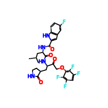 CC(C)CC(NC(=O)c1cc2cc(F)ccc2[nH]1)C(=O)NC(CC1CCNC1=O)C(=O)COc1c(F)c(F)cc(F)c1F